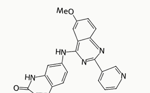 COc1ccc2nc(-c3cccnc3)nc(Nc3ccc4ccc(=O)[nH]c4c3)c2c1